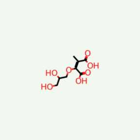 CC(C(=O)O)=C(OCC(O)CO)C(=O)O